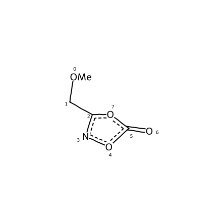 COCc1noc(=O)o1